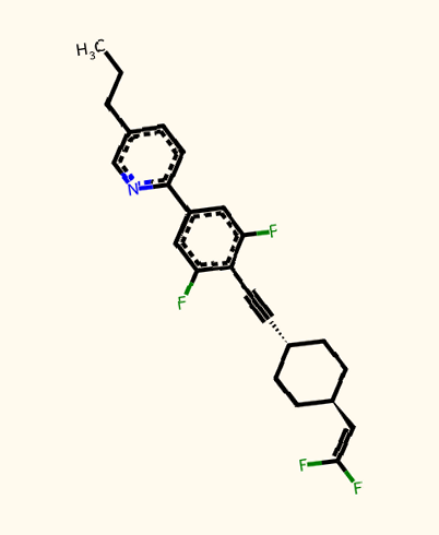 CCCc1ccc(-c2cc(F)c(C#C[C@H]3CC[C@H](C=C(F)F)CC3)c(F)c2)nc1